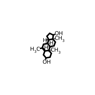 CC1=C2CC(O)CC[C@]2(C)[C@@H]2CC[C@]3(C)C(O)CC[C@H]3[C@@H]2C1